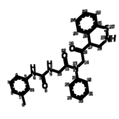 Cc1cccc(NC(=O)NCC(=O)N(CC(=O)C2CNSc3ccccc32)c2ccccc2)c1